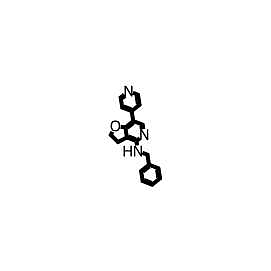 c1ccc(CNc2ncc(-c3ccncc3)c3c2CCO3)cc1